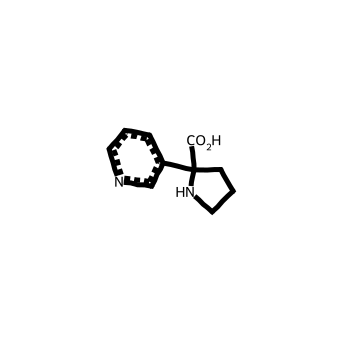 O=C(O)C1(c2cccnc2)CCCN1